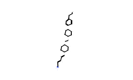 CCCc1ccc([C@H]2CC[C@H](CC[C@H]3CC[C@H](C=CC=CC#N)CC3)CC2)cc1